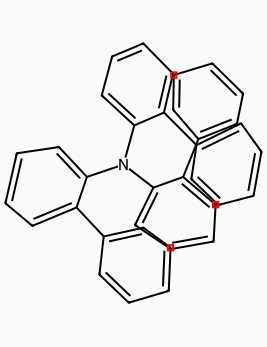 c1ccc(-c2ccccc2N(c2ccccc2-c2ccccc2)c2ccccc2-c2ccccc2)cc1